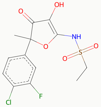 CCS(=O)(=O)NC1=C(O)C(=O)C(C)(c2ccc(Cl)c(F)c2)O1